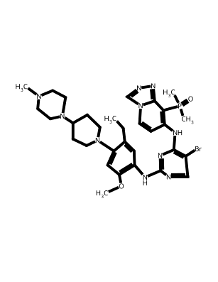 CCc1cc(Nc2ncc(Br)c(Nc3ccn4cnnc4c3P(C)(C)=O)n2)c(OC)cc1N1CCC(N2CCN(C)CC2)CC1